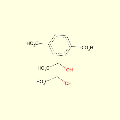 O=C(O)CO.O=C(O)CO.O=C(O)c1ccc(C(=O)O)cc1